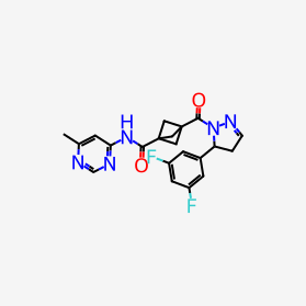 Cc1cc(NC(=O)C23CC(C(=O)N4N=CCC4c4cc(F)cc(F)c4)(C2)C3)ncn1